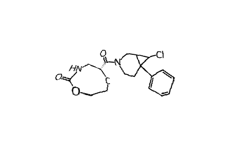 O=C1NC[C@H](C(=O)N2CCC3(c4ccccc4)C(Cl)C3C2)CCCO1